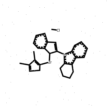 CC1=CC[C]([Zr][CH]2C(n3c4c(c5ccccc53)CCCC4)=Cc3ccccc32)=C1C.CCl